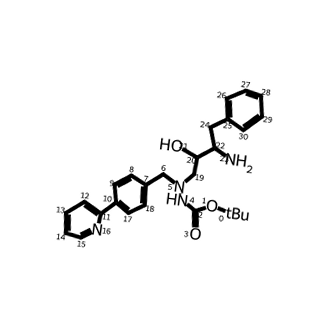 CC(C)(C)OC(=O)NN(Cc1ccc(-c2ccccn2)cc1)CC(O)C(N)Cc1ccccc1